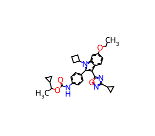 CCOc1ccc2c(-c3nc(C4CC4)no3)c(-c3ccc(NC(=O)OC(C)C4CC4)cc3)n(C3CCC3)c2c1